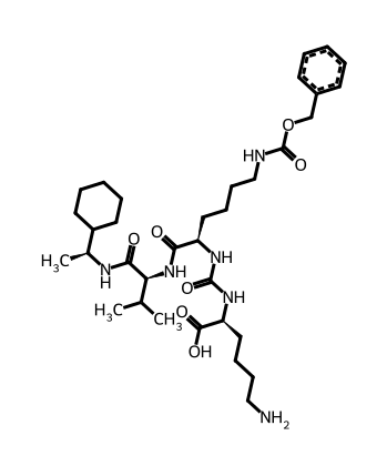 CC(C)[C@H](NC(=O)[C@@H](CCCCNC(=O)OCc1ccccc1)NC(=O)N[C@@H](CCCCN)C(=O)O)C(=O)N[C@@H](C)C1CCCCC1